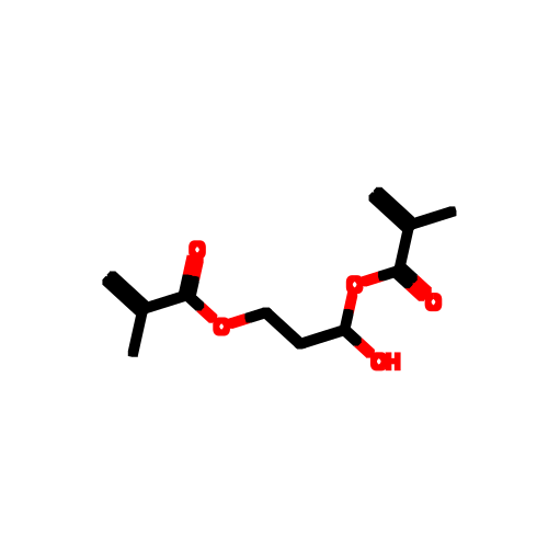 C=C(C)C(=O)OCCC(O)OC(=O)C(=C)C